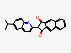 CC(C)c1ccc2nc(C3C(=O)c4cc5ccccc5cc4C3=O)ccc2c1